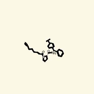 C#CCCCCCC(=O)N1CCC[C@H]1C(=O)N[C@@H](c1ccccc1)c1ccc(C(C)C)cc1